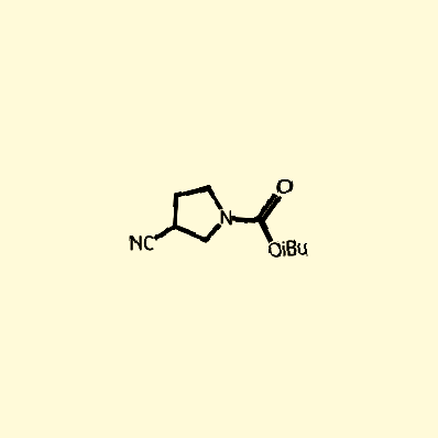 CC(C)COC(=O)N1CCC(C#N)C1